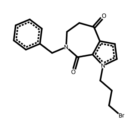 O=C1CCN(Cc2ccccc2)C(=O)c2c1ccn2CCCBr